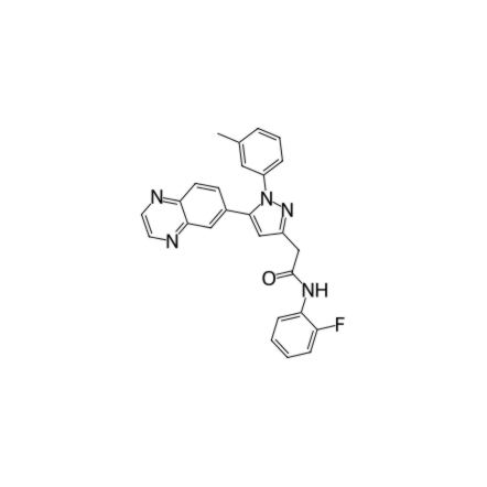 Cc1cccc(-n2nc(CC(=O)Nc3ccccc3F)cc2-c2ccc3nccnc3c2)c1